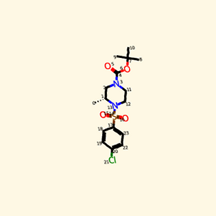 C[C@@H]1CN(C(=O)OC(C)(C)C)CCN1S(=O)(=O)c1ccc(Cl)cc1